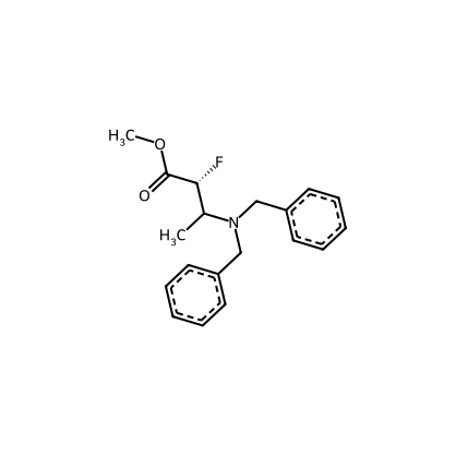 COC(=O)[C@H](F)C(C)N(Cc1ccccc1)Cc1ccccc1